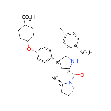 Cc1ccc(S(=O)(=O)O)cc1.N#C[C@@H]1CCCN1C(=O)[C@@H]1C[C@H](c2ccc(OC3CCC(C(=O)O)CC3)cc2)CN1